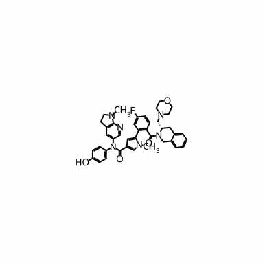 CN1CCc2cc(N(C(=O)c3cc(-c4cc(F)ccc4C(=O)N4Cc5ccccc5C[C@H]4CN4CCOCC4)n(C)c3)c3ccc(O)cc3)cnc21